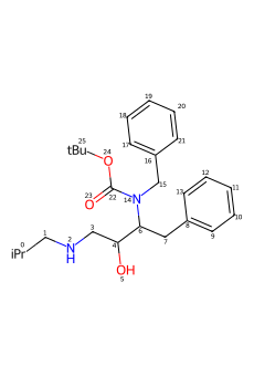 CC(C)CNCC(O)C(Cc1ccccc1)N(Cc1ccccc1)C(=O)OC(C)(C)C